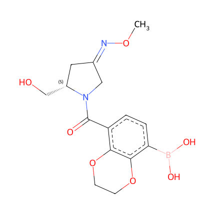 CON=C1C[C@@H](CO)N(C(=O)c2ccc(B(O)O)c3c2OCCO3)C1